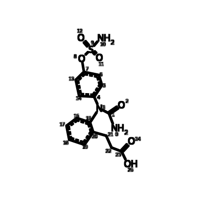 NC(=O)N(c1ccc(OS(N)(=O)=O)cc1)c1ccccc1CCC(=O)O